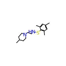 Cc1cc(C)c(SNCCN2CCC(C)CC2)c(C)c1